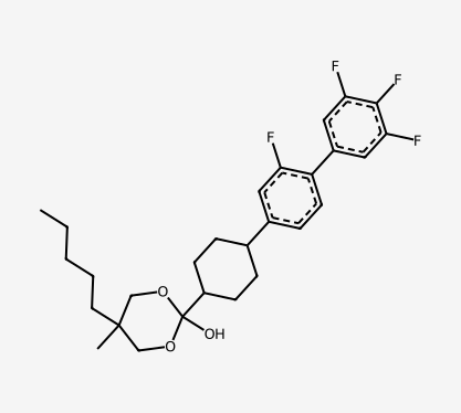 CCCCCC1(C)COC(O)(C2CCC(c3ccc(-c4cc(F)c(F)c(F)c4)c(F)c3)CC2)OC1